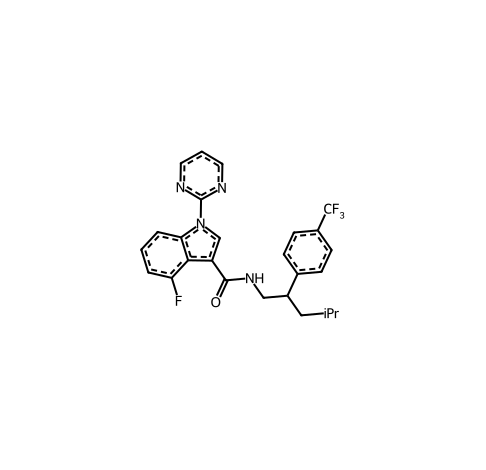 CC(C)CC(CNC(=O)c1cn(-c2ncccn2)c2cccc(F)c12)c1ccc(C(F)(F)F)cc1